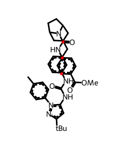 COC(=O)c1ccc(NC(=O)N2C3CCC2CC(Cc2cccc(NC(=O)Nc4cc(C(C)(C)C)nn4-c4ccc(C)cc4)c2)C3)cc1